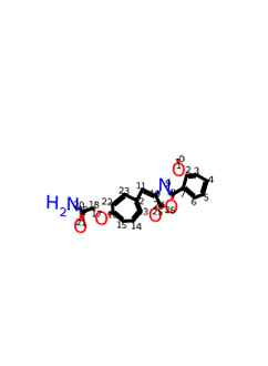 COc1ccccc1C1=N/C(=C/C2=C=CC=C(OCC(N)=O)C=C2)C(=O)O1